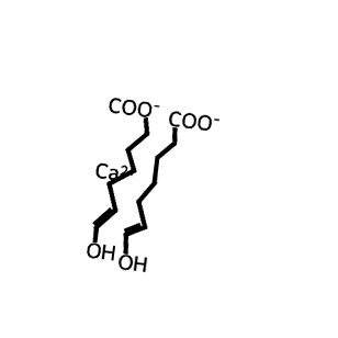 O=C([O-])CCCCC=CO.O=C([O-])CCCCC=CO.[Ca+2]